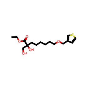 CCOC(=O)C(O)(CO)CCCCCCOCc1ccsc1